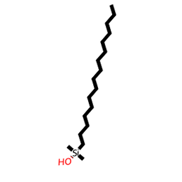 CCCCCCCCCCCCCCCC[Si](C)(C)O